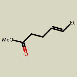 [CH2]CC=CCCC(=O)OC